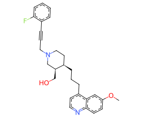 COc1ccc2nccc(CCC[C@@H]3CCN(CC#Cc4ccccc4F)C[C@@H]3CO)c2c1